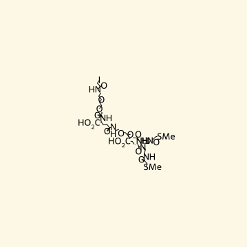 CSCC(=O)NCCN(CCNC(=O)CSC)C(=O)[C@H](CCC(=O)O)NC(=O)COCCOCCNC(=O)CCC(NC(=O)COCCOCCNC(=O)CI)C(=O)O